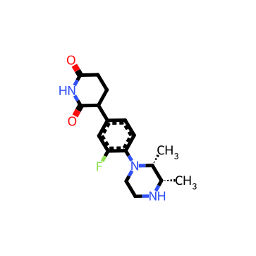 C[C@@H]1NCCN(c2ccc(C3CCC(=O)NC3=O)cc2F)[C@@H]1C